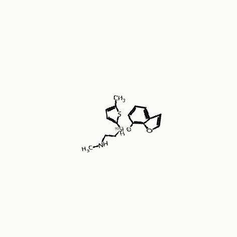 CNCC[Si@H](Oc1cccc2ccoc12)c1ccc(C)s1